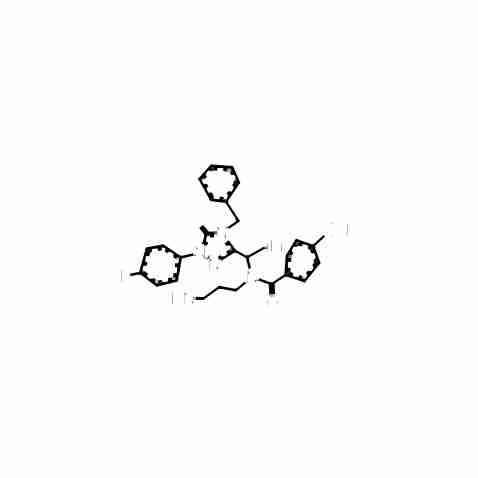 Cc1ccc(C(=O)N(CCCN)C(c2nn(-c3ccc(F)cc3)c(=O)n2Cc2ccccc2)C(C)C)cc1